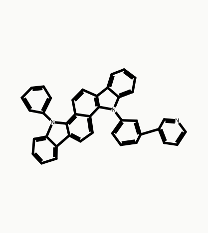 c1ccc(-n2c3ccccc3c3ccc4c(ccc5c6ccccc6n(-c6cccc(-c7cccnc7)c6)c54)c32)cc1